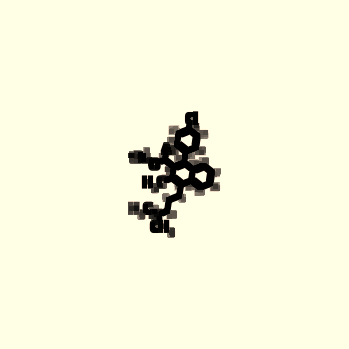 CC(=O)C(OC(C)(C)C)c1c(C)c(CCCN(C)C)c2ccccc2c1-c1ccc(Cl)cc1